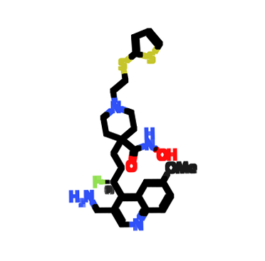 COc1ccc2ncc(CN)c([C@H](F)CCC3(C(=O)NO)CCN(CCSc4cccs4)CC3)c2c1